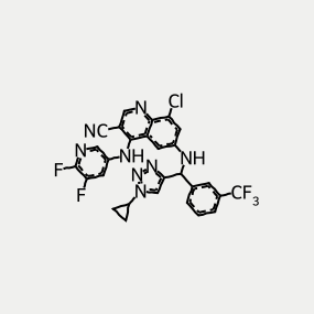 N#Cc1cnc2c(Cl)cc(NC(c3cccc(C(F)(F)F)c3)c3cn(C4CC4)nn3)cc2c1Nc1cnc(F)c(F)c1